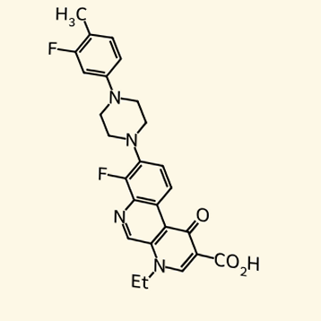 CCn1cc(C(=O)O)c(=O)c2c3ccc(N4CCN(c5ccc(C)c(F)c5)CC4)c(F)c3ncc21